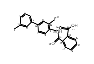 Cc1cccc(-c2ccc(NC(=O)c3ccccc3C(=O)O)c(F)c2)c1